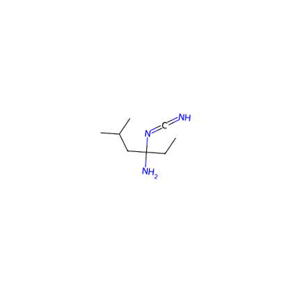 CCC(N)(CC(C)C)N=C=N